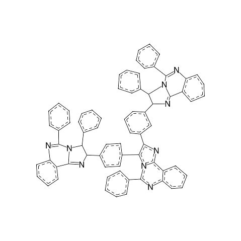 c1ccc(C2=Nc3ccccc3C3=NC(c4ccc(-c5c(-c6cccc(C7N=C8c9ccccc9N=C(c9ccccc9)N8C7c7ccccc7)c6)nc6c7ccccc7nc(-c7ccccc7)n56)cc4)C(c4ccccc4)N23)cc1